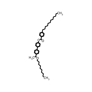 CCCCCCCCCCCCc1ccc(C(=O)Oc2ccc(-c3ccc(C(C)OCCCCCCCCCC)cc3)cc2)cc1